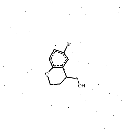 OSC1CCOc2ccc(Br)cc21